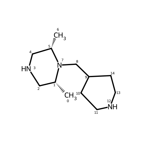 C[C@@H]1CNC[C@H](C)N1CC1CCNCC1